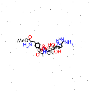 COC(=O)[C@H](C)NP(=O)(OC[C@@](C#N)(OC)[C@@H](O)[C@@H](O)c1ccc2c(N)ncnn12)Oc1ccc(C[C@H](N)C(=O)OC)cc1